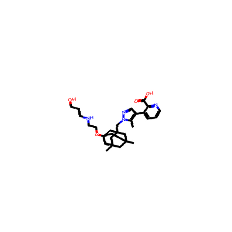 Cc1c(-c2cccnc2C(=O)O)cnn1CC12CC3(C)CC(C)(C1)CC(OCCNCCCO)(C3)C2